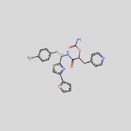 NC(=O)OC(Cc1ccncc1)C(=O)N[C@@H](Cc1ccc([N+](=O)[O-])cc1)c1nc(-c2cccs2)cs1